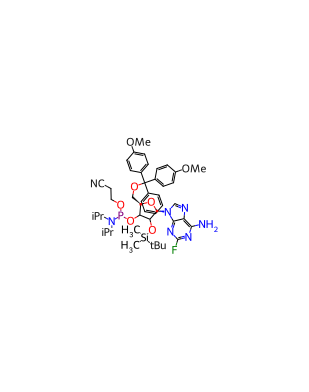 COc1ccc(C(OC[C@H]2O[C@@H](n3cnc4c(N)nc(F)nc43)C(O[Si](C)(C)C(C)(C)C)C2OP(OCCC#N)N(C(C)C)C(C)C)(c2ccccc2)c2ccc(OC)cc2)cc1